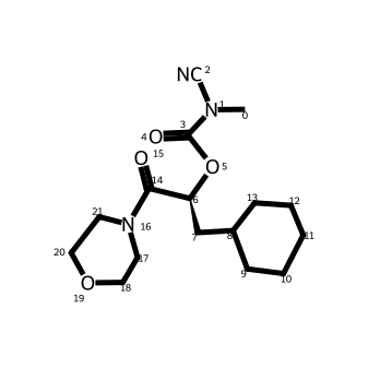 CN(C#N)C(=O)O[C@@H](CC1CCCCC1)C(=O)N1CCOCC1